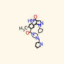 Cc1cc2[nH]c(=O)c3cnn(C4CCCC4)c3c2cc1C(=O)N1CCN(Cc2ccccn2)CC1